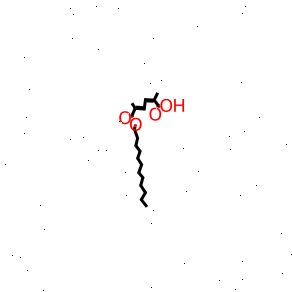 CCCCCCCCCCCCOC(=O)C(C)=CC=C(C)C(=O)O